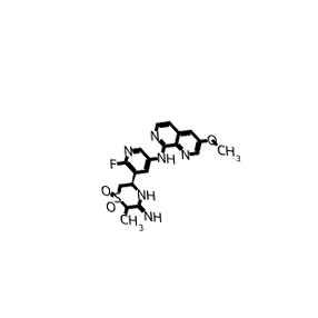 COc1cnc2c(Nc3cnc(F)c([C@@H]4CS(=O)(=O)C(C)C(=N)N4)c3)nccc2c1